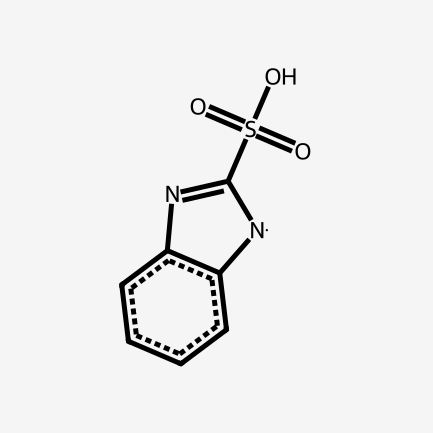 O=S(=O)(O)C1=Nc2ccccc2[N]1